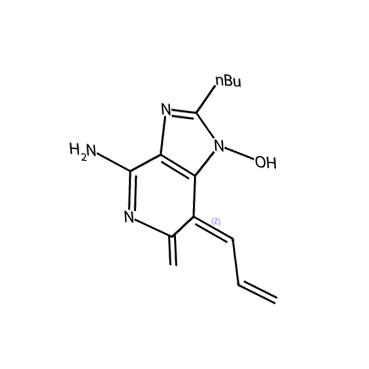 C=C/C=c1\c(=C)nc(N)c2nc(CCCC)n(O)c12